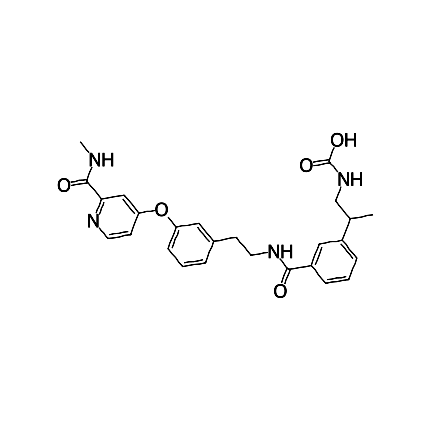 CNC(=O)c1cc(Oc2cccc(CCNC(=O)c3cccc(C(C)CNC(=O)O)c3)c2)ccn1